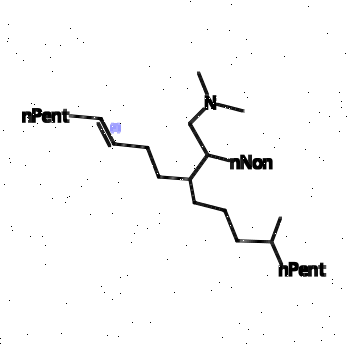 CCCCC/C=C/CCC(CCCC(C)CCCCC)C(CCCCCCCCC)CN(C)C